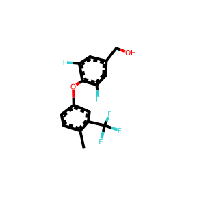 Cc1ccc(Oc2c(F)cc(CO)cc2F)cc1C(F)(F)F